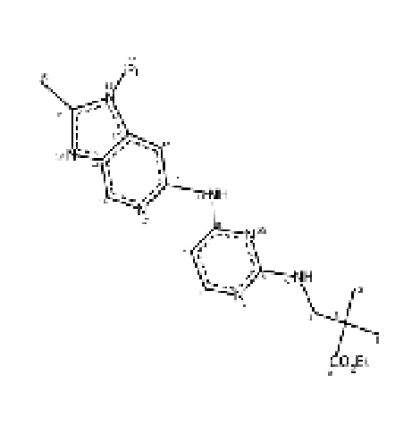 CCOC(=O)C(C)(C)CNc1nccc(Nc2cc3c(cn2)nc(C)n3C(C)C)n1